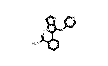 NC(=O)c1ccccc1-c1[nH]c2ccsc2c1Sc1ccncc1